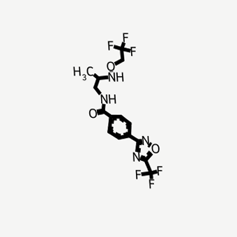 CC(CNC(=O)c1ccc(-c2noc(C(F)(F)F)n2)cc1)NOCC(F)(F)F